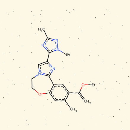 C=C(OCC)c1cc2c(cc1C)OCCn1cc(-c3nc(C)nn3C(C)C)nc1-2